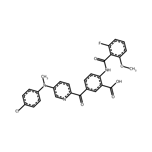 COc1cccc(F)c1C(=O)Nc1ccc(C(=O)c2ccc(N(C)c3ccc(Cl)cc3)cn2)cc1C(=O)O